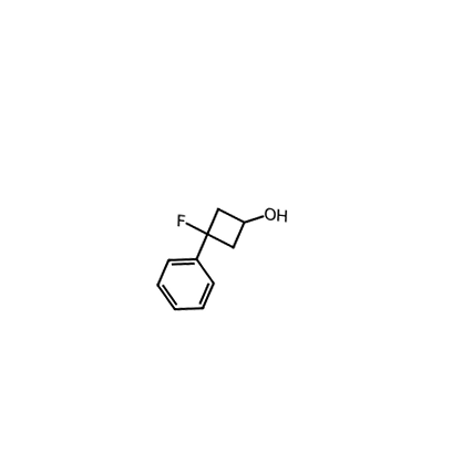 OC1CC(F)(c2ccccc2)C1